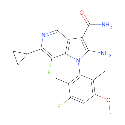 COc1cc(F)c(C)c(-n2c(N)c(C(N)=O)c3cnc(C4CC4)c(F)c32)c1C